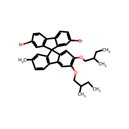 CCC(C)COc1cc2c(cc1OCC(C)CC)C1(c3cc(C)ccc3-2)c2cc(Br)ccc2-c2ccc(Br)cc21